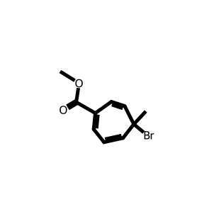 COC(=O)C1=CC=CC(C)(Br)C=C1